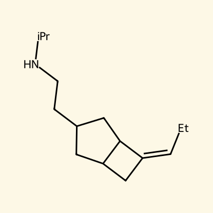 CC/C=C1/CC2CC(CCNC(C)C)CC12